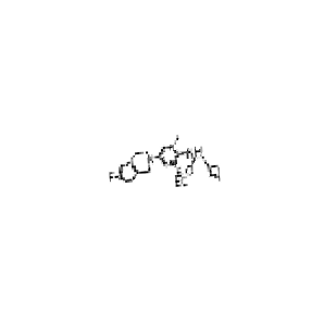 CCSc1cc(N2CCc3cc(F)ccc3C2)cc(C)c1NC(=O)CC12CC(C1)C2